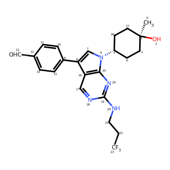 C[C@]1(O)CC[C@H](n2cc(-c3ccc(C=O)cc3)c3cnc(NCCC(F)(F)F)nc32)CC1